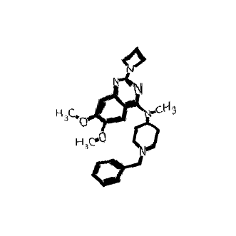 COc1cc2nc(N3CCC3)nc(N(C)C3CCN(Cc4ccccc4)CC3)c2cc1OC